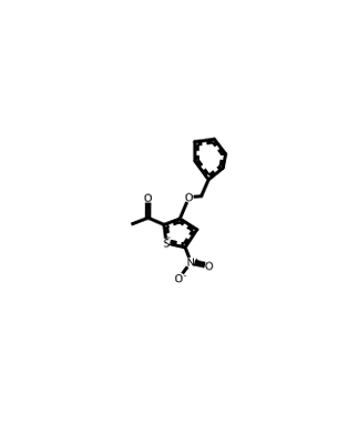 CC(=O)c1sc([N+](=O)[O-])cc1OCc1ccccc1